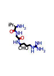 CC(C)[C@@H](N)C(=O)NCC(=O)NC(C=O)CCCNC(=N)N